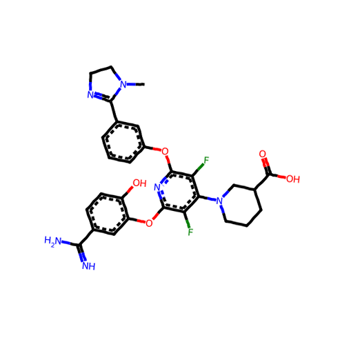 CN1CCN=C1c1cccc(Oc2nc(Oc3cc(C(=N)N)ccc3O)c(F)c(N3CCCC(C(=O)O)C3)c2F)c1